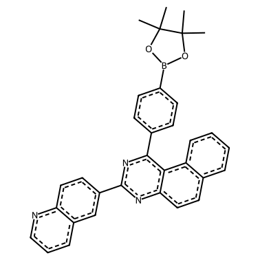 CC1(C)OB(c2ccc(-c3nc(-c4ccc5ncccc5c4)nc4ccc5ccccc5c34)cc2)OC1(C)C